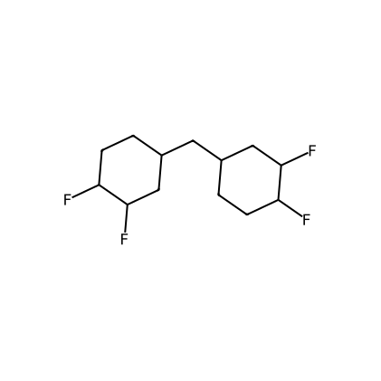 FC1CCC(CC2CCC(F)C(F)C2)CC1F